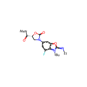 CCN=c1oc2cc(N3C[C@H](C(=O)NC)OC3=O)cc(F)c2n1C(C)(C)C